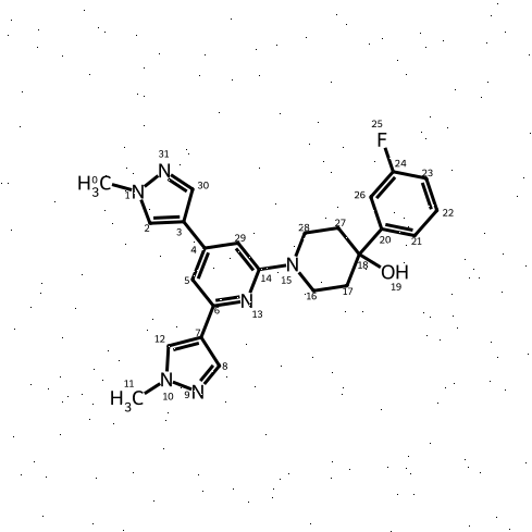 Cn1cc(-c2cc(-c3cnn(C)c3)nc(N3CCC(O)(c4cccc(F)c4)CC3)c2)cn1